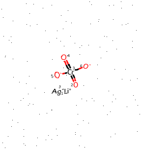 [Ag+].[Li+].[O]=[Cr](=[O])([O-])[O-]